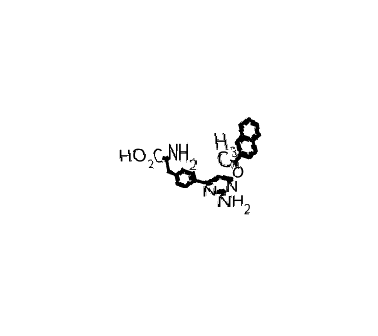 C[C@@H](Oc1cc(-c2ccc(CC(N)C(=O)O)cc2)nc(N)n1)c1ccc2ccccc2c1